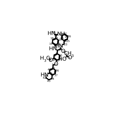 CC(=O)O.COc1cc([C@@H](Nc2ccc(C(=N)N)cc2)C(=O)NCc2ccccc2)ccc1OCc1ccc2c(c1)NCCC2